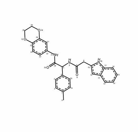 Cc1ccc(C(NC(=O)Cc2cc3ccccc3[nH]2)C(=O)Nc2ccc3c(c2)OCCO3)cc1